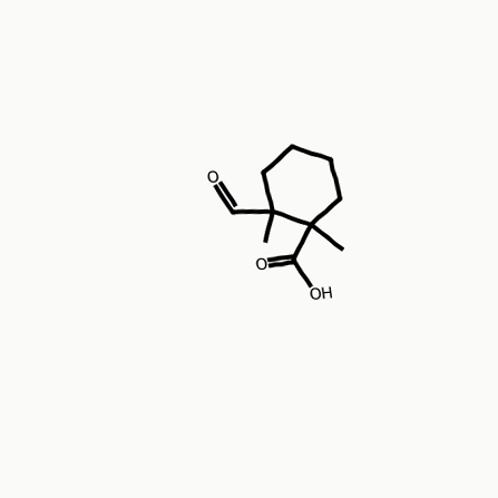 CC1(C=O)CCCCC1(C)C(=O)O